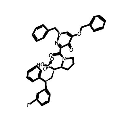 O=C(c1nn(Cc2ccccc2)cc(OCc2ccccc2)c1=O)N1CCCC1[C@@H](C[C@H](c1ccccc1)c1cccc(F)c1)S(=O)(=O)O